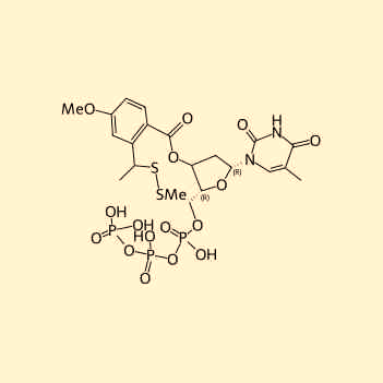 COc1ccc(C(=O)OC2C[C@H](n3cc(C)c(=O)[nH]c3=O)O[C@@H]2COP(=O)(O)OP(=O)(O)OP(=O)(O)O)c(C(C)SSC)c1